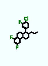 CCCC1CCC2c3cc(F)cc(F)c3CCC2C1c1ccc(Cl)c(F)c1